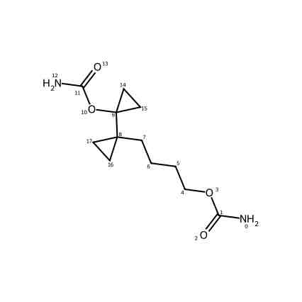 NC(=O)OCCCCC1(C2(OC(N)=O)CC2)CC1